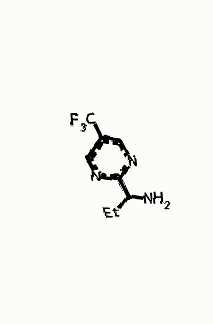 CCC(N)c1ncc(C(F)(F)F)cn1